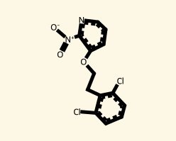 O=[N+]([O-])c1ncccc1OCCc1c(Cl)cccc1Cl